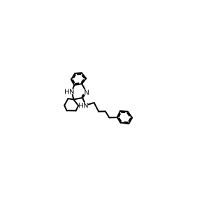 c1ccc(CCCCNC2=Nc3ccccc3NC23CCCCC3)cc1